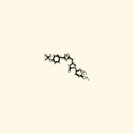 C=C(Cl)/C=C\C(=N/C)N1CC(Cc2nc(-c3ccc(OC(F)(F)F)cc3)no2)CC1=O